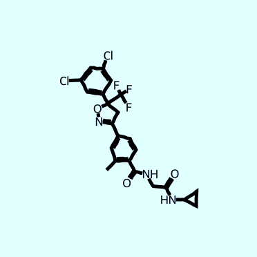 Cc1cc(C2=NOC(c3cc(Cl)cc(Cl)c3)(C(F)(F)F)C2)ccc1C(=O)NCC(=O)NC1CC1